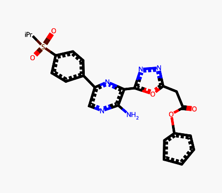 CC(C)S(=O)(=O)c1ccc(-c2cnc(N)c(-c3nnc(CC(=O)Oc4ccccc4)o3)n2)cc1